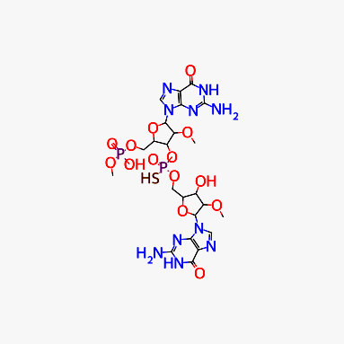 COC1C(O)C(COP(=O)(S)OC2C(COP(=O)(O)OC)OC(n3cnc4c(=O)[nH]c(N)nc43)C2OC)OC1n1cnc2c(=O)[nH]c(N)nc21